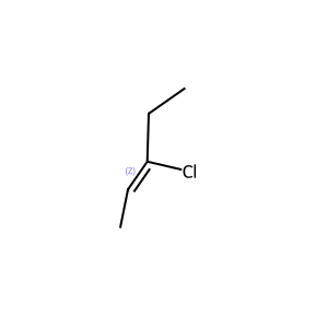 C/C=C(\Cl)CC